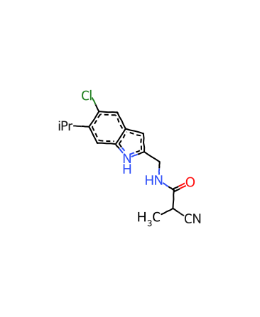 CC(C#N)C(=O)NCc1cc2cc(Cl)c(C(C)C)cc2[nH]1